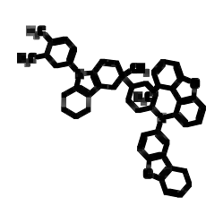 CC1=CC=C(n2c3c(c4c2CCCC4)CC(C)(C2CCC(N(c4ccc5oc6c(c5c4)CCC=C6)c4cccc5c4C4C(=CC=CC4C)O5)CC2)C=C3)CC1C